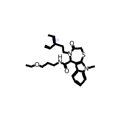 C=C/C(=C\C)CCN1C(=O)CSc2c(c3ccccc3n2C)C1C(=O)NCCCOCC